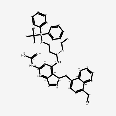 CCC[C@@H](CCO[Si](c1ccccc1)(c1ccccc1)C(C)(C)C)Nc1nc(NC(=O)O)nc2cnn(Cc3ccc(CO)c4cccnc34)c12